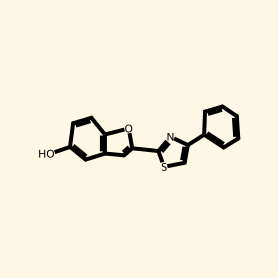 Oc1ccc2oc(-c3nc(-c4ccccc4)cs3)cc2c1